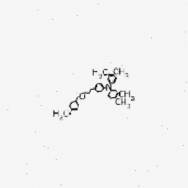 C=Cc1ccc(COCCCc2ccc(N(c3ccc(C)c(C)c3)c3ccc(C)c(C)c3)cc2)cc1